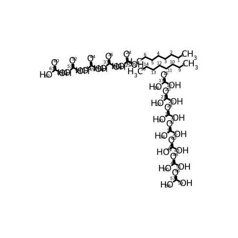 CCCCCCCC.CCCCCCCC.O=C(O)O.O=C(O)O.O=C(O)O.O=C(O)O.O=C(O)O.O=C(O)O.O=C(O)O.O=C(O)O.O=C(O)O.O=C(O)O.O=C(O)O.O=C(O)O